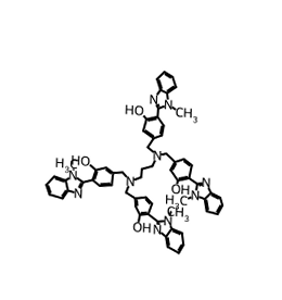 Cn1c(-c2ccc(CN(CCCN(Cc3ccc(-c4nc5ccccc5n4C)c(O)c3)Cc3ccc(-c4nc5ccccc5n4C)c(O)c3)Cc3ccc(-c4nc5ccccc5n4C)c(O)c3)cc2O)nc2ccccc21